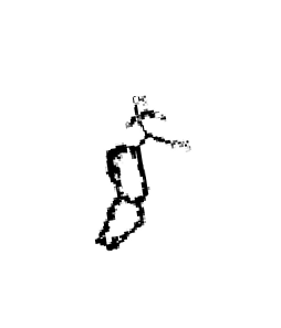 C[C](c1ccc2ccccc2c1)S(C)(=O)=O